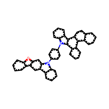 c1ccc2c(c1)ccc1c2c2ccccc2c2c1c1ccccc1n2-c1ccc(-n2c3ccccc3c3cc4c(cc32)oc2ccccc24)cc1